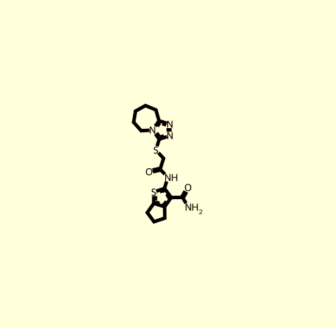 NC(=O)c1c(NC(=O)CSc2nnc3n2CCCCC3)sc2c1CCC2